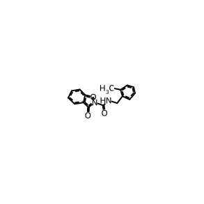 Cc1ccccc1CNC(=O)n1oc2ccccc2c1=O